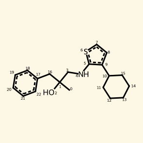 CC(O)(CNc1sccc1C1CCCCC1)Cc1ccccc1